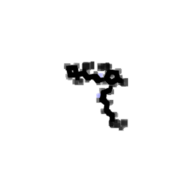 CCC1([C@@H](O)C/C=C/[C@H]2[C@H](O)CC(Cl)[C@@H]2C/C=C\CCCC(=O)O)CCC1